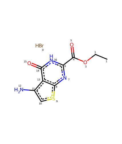 Br.CCOC(=O)c1nc2scc(N)c2c(=O)[nH]1